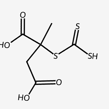 CC(CC(=O)O)(SC(=S)S)C(=O)O